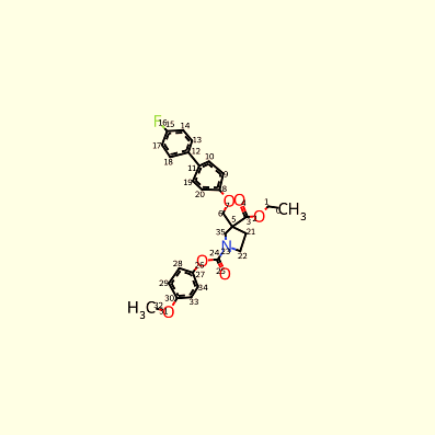 CCOC(=O)C1(COc2ccc(-c3ccc(F)cc3)cc2)CCN(C(=O)Oc2ccc(OC)cc2)C1